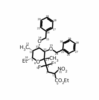 CCOC(=O)C(CC(F)(F)[C@]1(C)O[C@H](CC)[C@H](C)[C@H](OCc2ccccc2)[C@H]1OCc1ccccc1)[N+](=O)[O-]